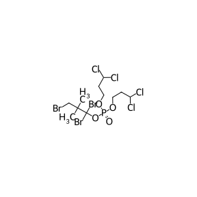 CC(C)(CBr)C(Br)(Br)OP(=O)(OCCC(Cl)Cl)OCCC(Cl)Cl